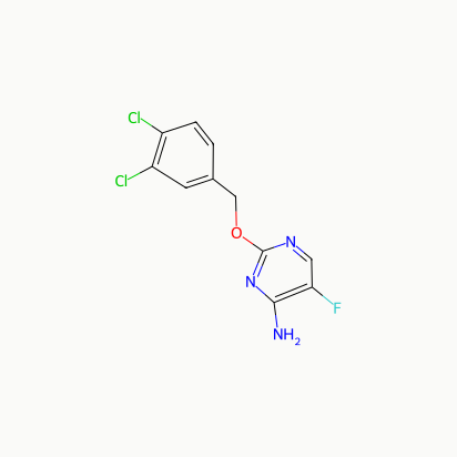 Nc1nc(OCc2ccc(Cl)c(Cl)c2)ncc1F